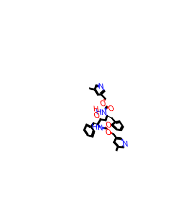 Cc1cncc(COC(=O)N[C@@H](Cc2ccccc2)C[C@H](O)[C@H](Cc2ccccc2)NC(=O)OCc2cncc(C)c2)c1